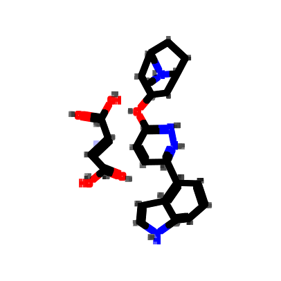 CN1C2CCC1CC(Oc1ccc(-c3cccc4[nH]ccc34)nn1)C2.O=C(O)/C=C/C(=O)O